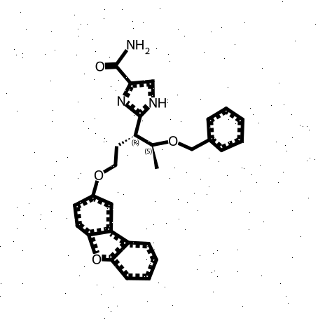 C[C@H](OCc1ccccc1)[C@H](CCOc1ccc2oc3ccccc3c2c1)c1nc(C(N)=O)c[nH]1